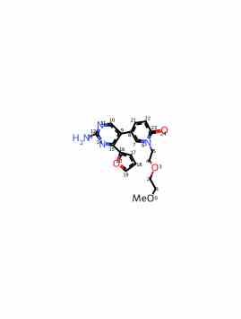 COCCOCCn1cc(-c2cnc(N)nc2-c2ccco2)ccc1=O